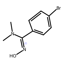 CN(C)/C(=N\O)c1ccc(Br)cc1